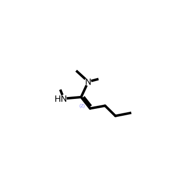 CCC/C=C(/NC)N(C)C